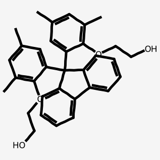 Cc1cc(C)c(OCCO)c(C2(c3cc(C)cc(C)c3OCCO)c3ccccc3-c3ccccc32)c1